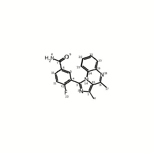 Cc1nc(-c2cc(C(N)=O)ccc2F)n2c1c(C)nc1ccccc12